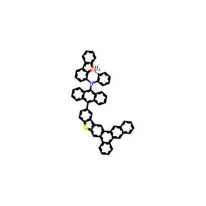 Cc1ccccc1N(c1c2ccccc2c(-c2ccc3sc4cc5c6ccccc6c6cc7ccccc7cc6c5cc4c3c2)c2ccccc12)c1cccc2c1oc1ccccc12